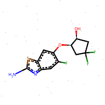 Nc1nc2cc(F)c(O[C@@H]3CC(F)(F)C[C@@H]3O)cc2s1